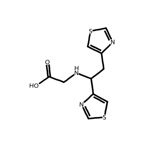 O=C(O)CNC(Cc1cscn1)c1cscn1